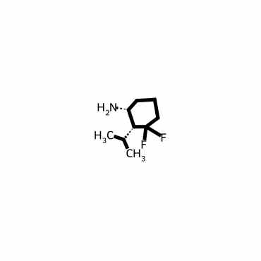 CC(C)[C@@H]1[C@H](N)CCCC1(F)F